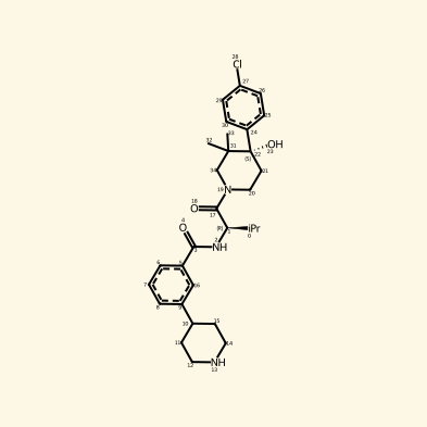 CC(C)[C@@H](NC(=O)c1cccc(C2CCNCC2)c1)C(=O)N1CC[C@](O)(c2ccc(Cl)cc2)C(C)(C)C1